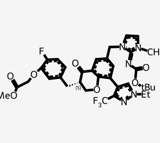 CCn1cc(-c2cc(Cn3ccn(C)c3=NC(=O)OC(C)(C)C)cc3c2OC[C@H](Cc2ccc(F)c(OCC(=O)OC)c2)C3=O)c(C(F)(F)F)n1